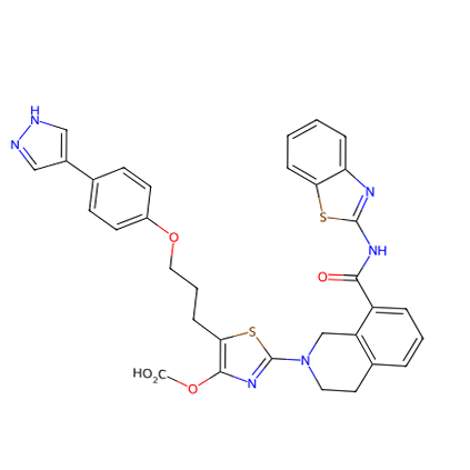 O=C(O)Oc1nc(N2CCc3cccc(C(=O)Nc4nc5ccccc5s4)c3C2)sc1CCCOc1ccc(-c2cn[nH]c2)cc1